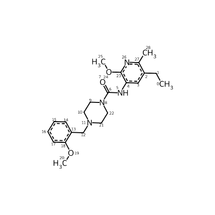 CCc1cc(NC(=O)N2CCN(Cc3ccccc3OC)CC2)c(OC)nc1C